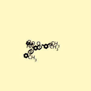 Cc1ccccc1N1CCN(c2cc3c(cc2NC(=O)c2ccco2)C(=O)N(Cc2cccc(CN(C)C)c2)CC3)CC1